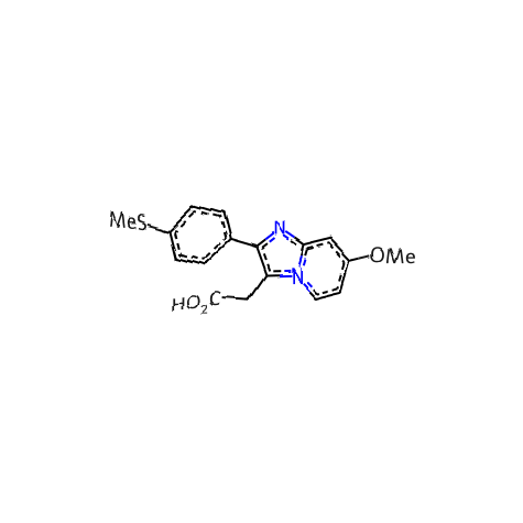 COc1ccn2c(CC(=O)O)c(-c3ccc(SC)cc3)nc2c1